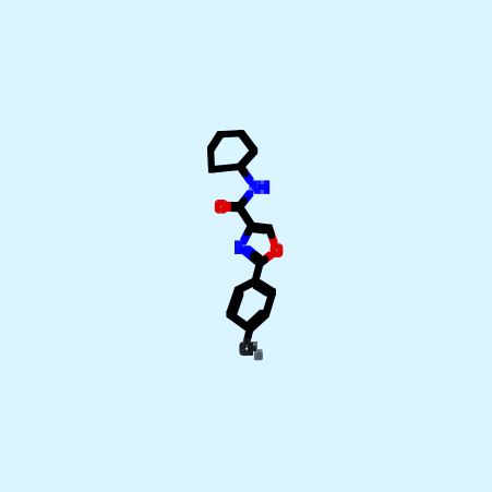 O=C(NC1CCCCC1)c1coc(-c2ccc(C(F)(F)F)cc2)n1